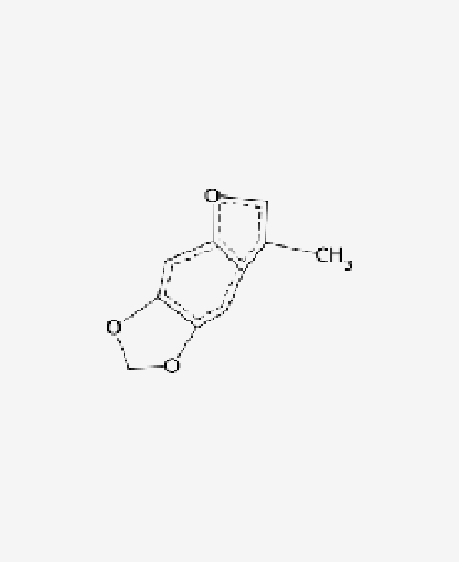 Cc1coc2cc3c(cc12)OCO3